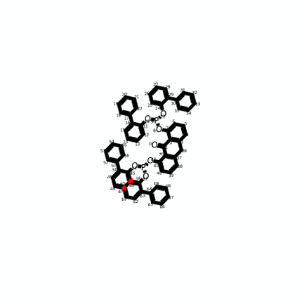 O=C1c2c(cccc2OP(Oc2ccccc2-c2ccccc2)Oc2ccccc2-c2ccccc2)Cc2cccc(OP(Oc3ccccc3-c3ccccc3)Oc3ccccc3-c3ccccc3)c21